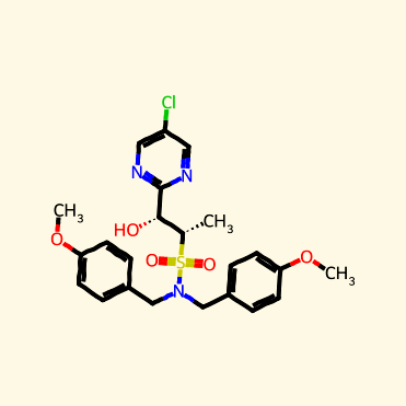 COc1ccc(CN(Cc2ccc(OC)cc2)S(=O)(=O)[C@@H](C)[C@H](O)c2ncc(Cl)cn2)cc1